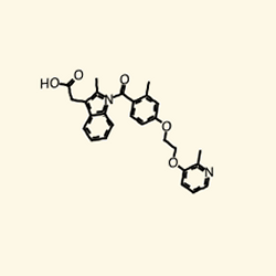 Cc1cc(OCCOc2cccnc2C)ccc1C(=O)n1c(C)c(CC(=O)O)c2ccccc21